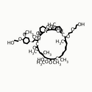 CO[C@@H]1C[C@H](C[C@@H](C)[C@@H]2CC(=O)[C@H](C)/C=C(\C)[C@@H](O)[C@@H](OC)C(=O)[C@H](C)C[C@H](C)/C=C/C=C/C=C(\C)C(OCCOCCO)C[C@@H]3CC[C@@H](C)[C@@](O)(O3)C(=O)C(=O)N3CCCC[C@H]3C(=O)O2)CC[C@H]1OCCO